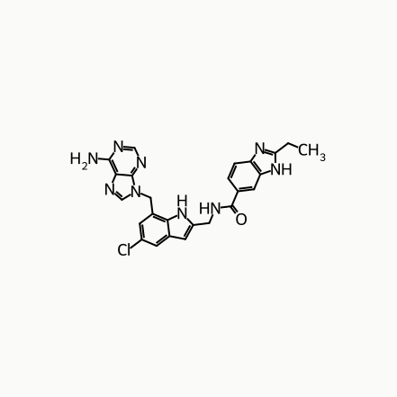 CCc1nc2ccc(C(=O)NCc3cc4cc(Cl)cc(Cn5cnc6c(N)ncnc65)c4[nH]3)cc2[nH]1